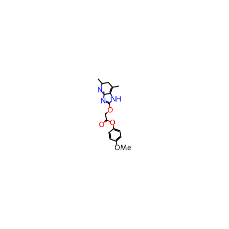 COc1ccc(OC(=O)COc2nc3c([nH]2)=C(C)CC(C)N=3)cc1